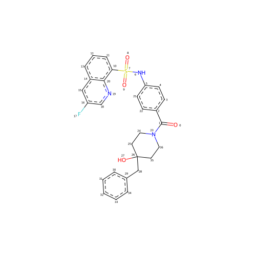 O=C(c1ccc(NS(=O)(=O)c2cccc3cc(F)cnc23)cc1)N1CCC(O)(Cc2ccccc2)CC1